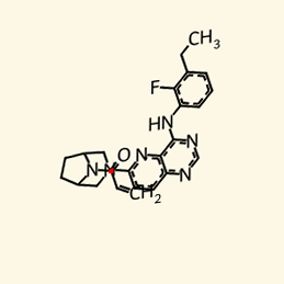 C=CC(=O)N1C2CCC1CN(c1ccc3ncnc(Nc4cccc(CC)c4F)c3n1)C2